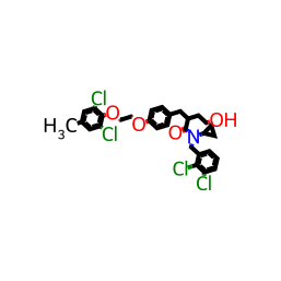 Cc1cc(Cl)c(OCCOc2ccc(CC(CCO)C(=O)N(Cc3cccc(Cl)c3Cl)C3CC3)cc2)c(Cl)c1